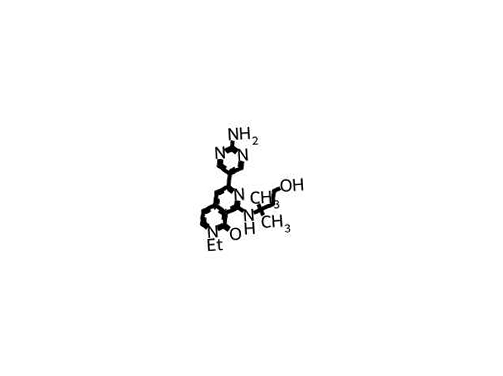 CCn1ccc2cc(-c3cnc(N)nc3)nc(NC(C)(C)CCO)c2c1=O